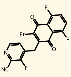 CCC1=C(Cc2ccnc(C#N)c2F)C(=O)c2c(F)ccc(F)c2C1=O